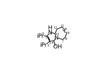 CC(C)C1=C(C(C)C)C(O)N2CCCCCCC2N1